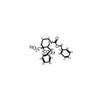 CCOC(=O)C1(C(=O)O)CCCN(C(=O)OCc2ccccc2)C1Cc1ccccc1